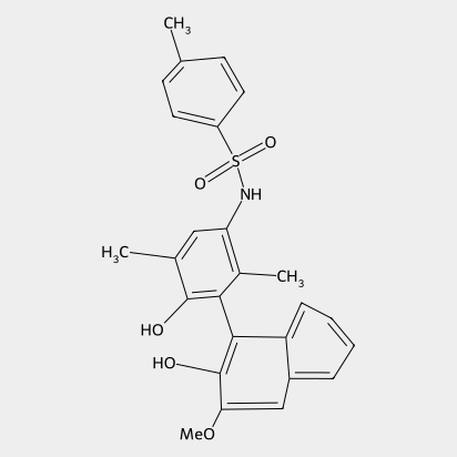 COc1cc2ccccc2c(-c2c(C)c(NS(=O)(=O)c3ccc(C)cc3)cc(C)c2O)c1O